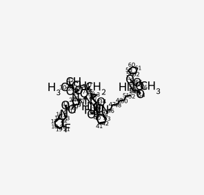 C=C[C@@H]1C[C@]1(NC(=O)[C@@H]1C[C@@H](OC(=O)N2Cc3cccc(F)c3C2)CN1C(=O)OC(C)(C)C)C(=O)NS(=O)(=O)c1ccccc1NCCCCCCC[C@H](NC(=O)OC1CCCC1)C(=O)OC